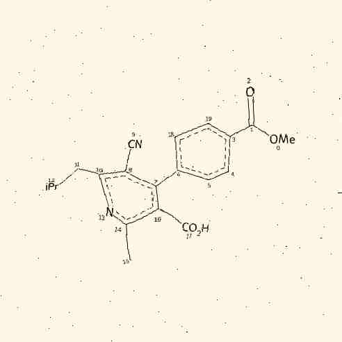 COC(=O)c1ccc(-c2c(C#N)c(CC(C)C)nc(C)c2C(=O)O)cc1